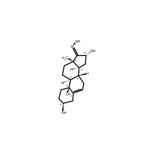 C[C@]12CC[C@H](O)CC1=CC[C@@H]1[C@@H]2CC[C@]2(C)C(=NO)[C@H](O)C[C@@H]12